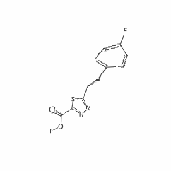 O=C(OI)c1nnc(CCc2ccc(F)cc2)s1